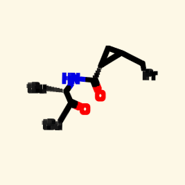 CC(C)CC1C[C@H]1C(=O)N[C@H](C(=O)C(C)(C)C)C(C)(C)C